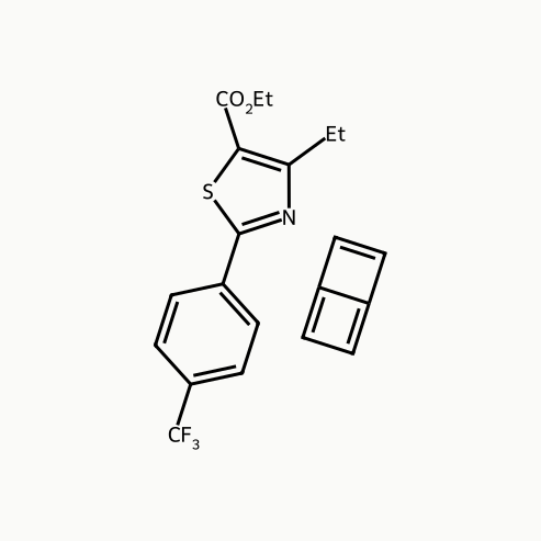 CCOC(=O)c1sc(-c2ccc(C(F)(F)F)cc2)nc1CC.c1cc2ccc1-2